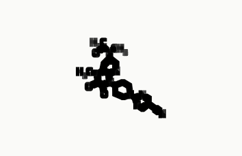 CC(=O)N(C)c1cnc2c(c1)n(C)c(=O)c(=O)n2C1CCN(c2ncc(C#N)cn2)CC1